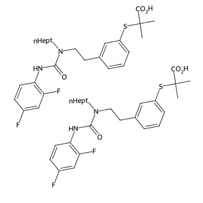 CCCCCCCN(CCc1cccc(SC(C)(C)C(=O)O)c1)C(=O)Nc1ccc(F)cc1F.CCCCCCCN(CCc1cccc(SC(C)(C)C(=O)O)c1)C(=O)Nc1ccc(F)cc1F